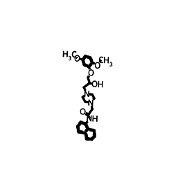 COc1ccc(OC)c(OCC(O)CN2CCN(CC(=O)Nc3cccc4ccccc34)CC2)c1